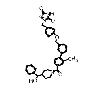 Cc1cc(C(=O)N2CCC(C(O)c3ccccc3)CC2)ccc1-c1cccc(COc2ccc(Cn3oc(=O)[nH]c3=O)cc2)c1